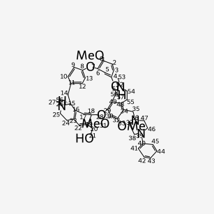 COc1ccc2cc1Oc1ccc(cc1)C[C@H]1c3cc(c(CO)cc3CCN1C)Oc1c(OC)c(OC)c(CN3CCN(c4ccccc4)CC3)c3c1[C@H](C2)N(C)CC3